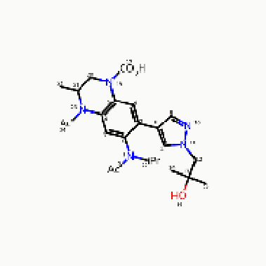 CC(=O)N(c1cc2c(cc1-c1cnn(CC(C)(C)O)c1)N(C(=O)O)CC(C)N2C(C)=O)C(C)C